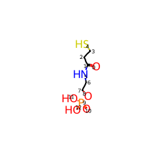 O=C(CCS)NCCOP(=O)(O)O